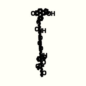 CCC(=O)CCC(C(C)=O)C(C)C(C)C(=O)c1cccc(NCCCOCCOCCOCCCNC(=O)CCCN(C)c2ccc(C3CC4(C)C(O)CCC4C4CCC5=CC(=O)CCC5=C34)cc2)c1C(C)=O